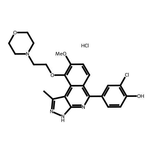 COc1ccc2c(-c3ccc(O)c(Cl)c3)nc3[nH]nc(C)c3c2c1OCCN1CCOCC1.Cl